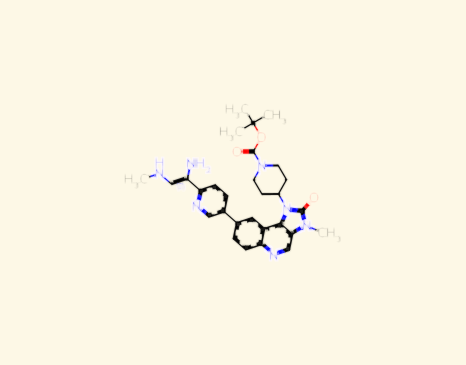 CN/C=C(\N)c1ccc(-c2ccc3ncc4c(c3c2)n(C2CCN(C(=O)OC(C)(C)C)CC2)c(=O)n4C)cn1